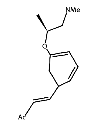 CNC[C@H](C)OC1=CC=CC(/C=C/C(C)=O)C1